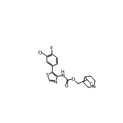 O=C(Nc1ncsc1-c1ccc(F)c(Cl)c1)OCC1CN2CCC1CC2